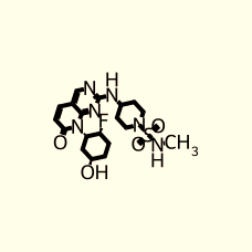 CNS(=O)(=O)N1CCC(Nc2ncc3ccc(=O)n([C@H]4C[C@H](O)CC[C@@H]4F)c3n2)CC1